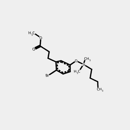 CCCC[Si](C)(C)Oc1ccc(Br)c(CCC(=O)OC)c1